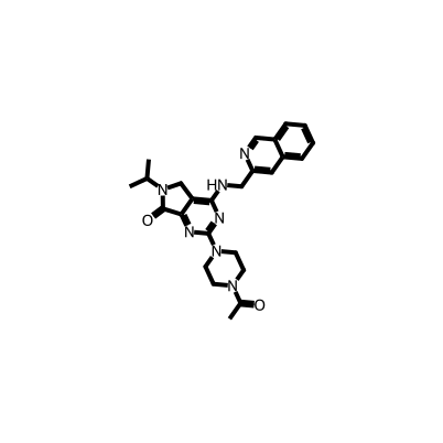 CC(=O)N1CCN(c2nc(NCc3cc4ccccc4cn3)c3c(n2)C(=O)N(C(C)C)C3)CC1